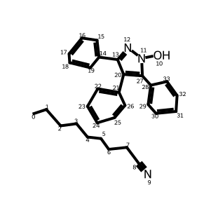 CCCCCCCCC#N.On1nc(-c2ccccc2)c(-c2ccccc2)c1-c1ccccc1